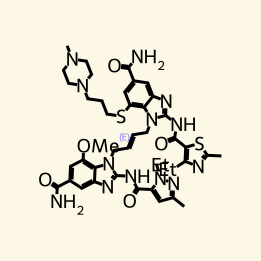 CCc1nc(C)sc1C(=O)Nc1nc2cc(C(N)=O)cc(SCCCN3CCN(C)CC3)c2n1C/C=C/Cn1c(NC(=O)c2cc(C)nn2CC)nc2cc(C(N)=O)cc(OC)c21